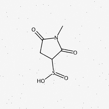 CN1C(=O)CC(S(=O)O)C1=O